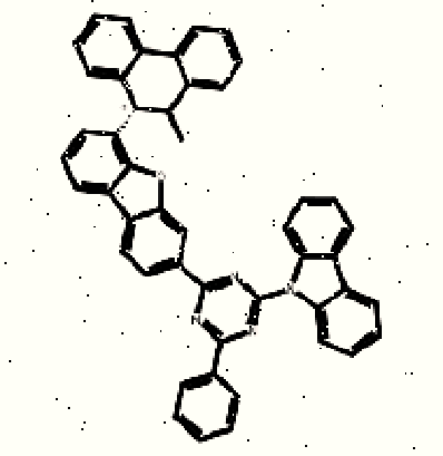 CC1c2ccccc2-c2ccccc2[C@H]1c1cccc2c1oc1cc(-c3nc(-c4ccccc4)nc(-n4c5ccccc5c5ccccc54)n3)ccc12